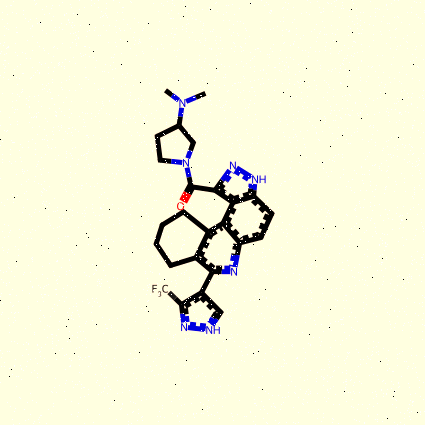 CN(C)C1CCN(C(=O)c2n[nH]c3ccc4nc(-c5c[nH]nc5C(F)(F)F)c5c(c4c23)CCCC5)C1